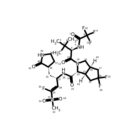 CC(C)(C)[C@@H](NC(=O)C(F)(F)F)C(=O)N1C[C@H]2CC(F)(F)C[C@H]2[C@@H]1C(=O)N[C@H](/C=C(\F)S(C)(=O)=O)C[C@H]1CCNC1=O